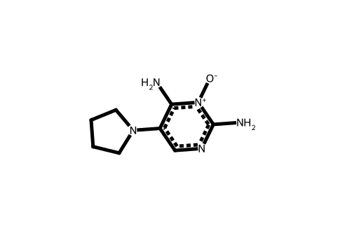 Nc1ncc(N2CCCC2)c(N)[n+]1[O-]